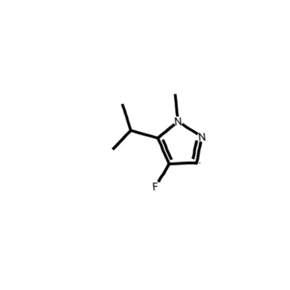 CC(C)c1c(F)[c]nn1C